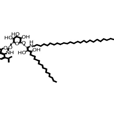 CCCCCCCCCCCCCCCCCCCCCCCCCCN[C@@H](CO[C@H]1O[C@H](COC(=O)Nc2c(C(C)C)cccc2C(C)C)[C@H](O)[C@H](O)[C@H]1O)[C@H](O)[C@H](O)CCCCCCCCCCCCCC